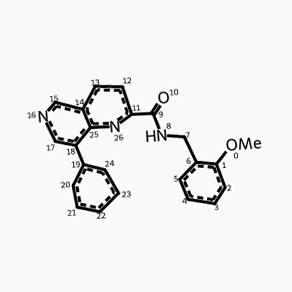 COc1ccccc1CNC(=O)c1ccc2cncc(-c3ccccc3)c2n1